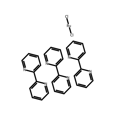 [Cl][Ru][Cl].c1ccc(-c2ccccn2)nc1.c1ccc(-c2ccccn2)nc1.c1ccc(-c2ccccn2)nc1